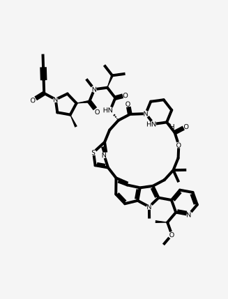 CC#CC(=O)N1C[C@H](C)[C@H](C(=O)N(C)[C@H](C(=O)N[C@H]2Cc3nc(cs3)-c3ccc4c(c3)c(c(-c3cccnc3[C@H](C)OC)n4C)CC(C)(C)COC(=O)[C@@H]3CCCN(N3)C2=O)C(C)C)C1